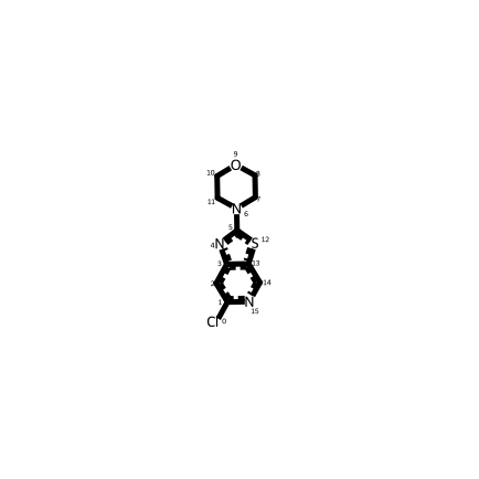 Clc1cc2nc(N3CCOCC3)sc2cn1